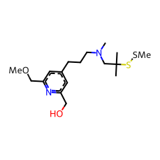 COCc1cc(CCCN(C)CC(C)(C)SSC)cc(CO)n1